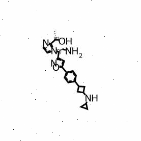 C[C@H](O)c1nccn1[C@H](CN)c1cc(-c2ccc(C3CC(NC4CC4)C3)cc2)on1